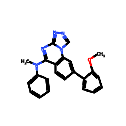 COc1ccccc1-c1ccc2c(N(C)c3ccccc3)nc3nncn3c2c1